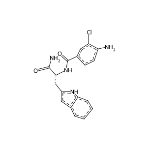 NC(=O)[C@@H](Cc1cc2ccccc2[nH]1)NC(=O)c1ccc(N)c(Cl)c1